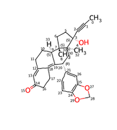 CC#C[C@]1(O)CC[C@@]2(C)[C@@H]3CCC4=CC(=O)CCC4=C3[C@@H](c3ccc4c(c3)OCO4)C[C@@]21C